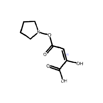 O=C(/C=C(/O)C(=O)O)ON1CCCC1